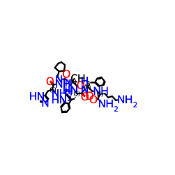 C[C@H](NC(=O)N(CC1CCCCC1)NC(=O)[C@@H](N)Cc1cnc[nH]1)C(=O)N[C@@H](Cc1c[nH]c2ccccc12)C(=O)N[C@H](Cc1ccccc1)C(=O)N[C@@H](CCCCN)C(N)=O